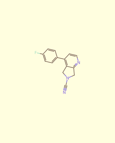 N#CN1Cc2n[c]cc(-c3ccc(F)cc3)c2C1